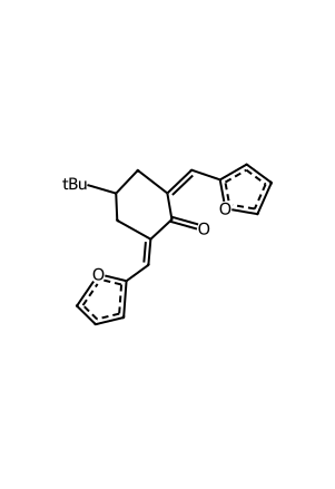 CC(C)(C)C1CC(=Cc2ccco2)C(=O)C(=Cc2ccco2)C1